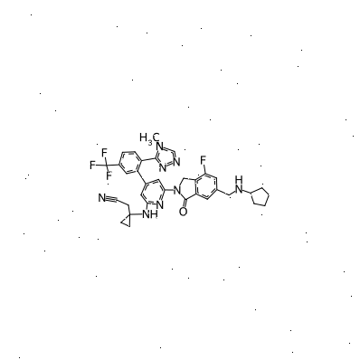 Cn1cnnc1-c1ccc(C(F)(F)F)cc1-c1cc(NC2(CC#N)CC2)nc(N2Cc3c(F)cc(CNC4CCCC4)cc3C2=O)c1